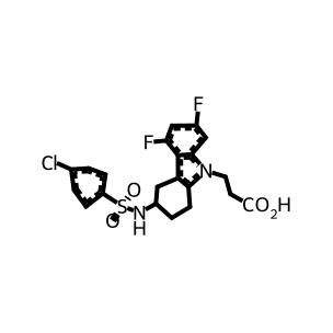 O=C(O)CCn1c2c(c3c(F)cc(F)cc31)CC(NS(=O)(=O)c1ccc(Cl)cc1)CC2